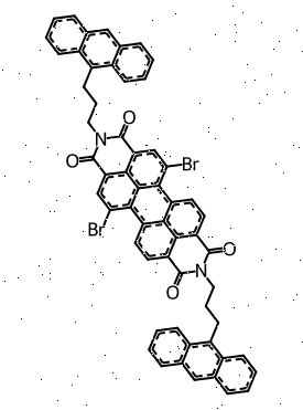 O=C1c2ccc3c4c(Br)cc5c6c(cc(Br)c(c7ccc(c2c37)C(=O)N1CCCc1c2ccccc2cc2ccccc12)c64)C(=O)N(CCCc1c2ccccc2cc2ccccc12)C5=O